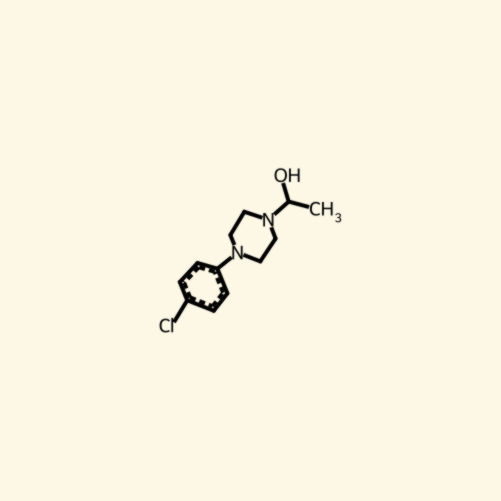 CC(O)N1CCN(c2ccc(Cl)cc2)CC1